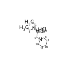 CCN(CC)CCN1CCCCC1.Cl.Cl